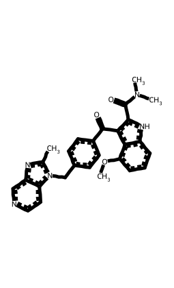 COc1cccc2[nH]c(C(=O)N(C)C)c(C(=O)c3ccc(Cn4c(C)nc5cnccc54)cc3)c12